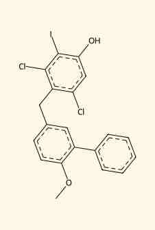 COc1ccc(Cc2c(Cl)cc(O)c(I)c2Cl)cc1-c1ccccc1